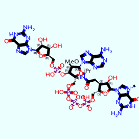 CO[C@@H]1[C@H](OP(=O)(O)OC[C@H]2O[C@@H](n3cnc4c(=O)[nH]c(N)nc43)[C@H](O)[C@@H]2O)[C@@H](COP(=O)(O)OP(=O)(O)OP(=O)(O)OC[C@H]2OC(n3c[n+](C)c4c(=O)[nH]c(N)nc43)[C@H](O)[C@@H]2CC(=O)NC(C)C)O[C@H]1n1cnc2c(N)ncnc21